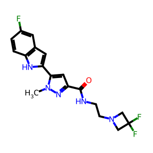 Cn1nc(C(=O)NCCN2CC(F)(F)C2)cc1-c1cc2cc(F)ccc2[nH]1